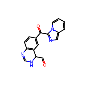 O=CC1NC=Nc2ccc(C(=O)c3ncc4ccccn34)cc21